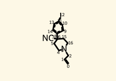 C=CCN1CCC(C#N)(c2ccc(I)cc2)CC1